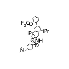 CC(C)c1cc(-c2ccccc2OC(F)(F)F)cc(C(C)C)c1CC(=O)NS(=O)(=O)c1ccc(CN(C)C)cc1